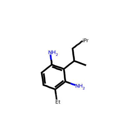 CCc1ccc(N)c(C(C)CC(C)C)c1N